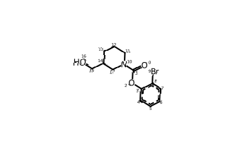 O=C(Oc1ccccc1Br)N1CCCC(CO)C1